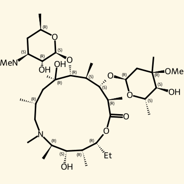 CC[C@H]1OC(=O)[C@H](C)[C@@H](O[C@H]2C[C@@](C)(OC)[C@@H](O)[C@H](C)O2)[C@H](C)[C@@H](O[C@@H]2O[C@H](C)C[C@H](NC)[C@H]2O)[C@](C)(O)C[C@@H](C)CN(C)[C@H](C)[C@@H](O)[C@H]1C